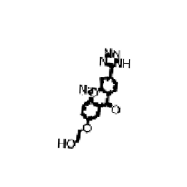 O=c1c2ccc(-c3nnn[nH]3)cc2oc2ccc(OCCO)cc12.[Na]